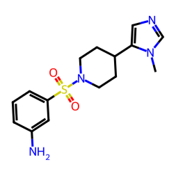 Cn1cncc1C1CCN(S(=O)(=O)c2cccc(N)c2)CC1